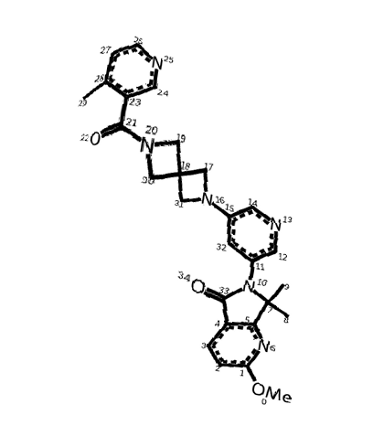 COc1ccc2c(n1)C(C)(C)N(c1cncc(N3CC4(CN(C(=O)c5cnccc5C)C4)C3)c1)C2=O